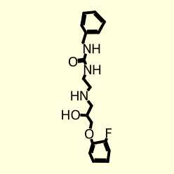 O=C(NCCNCC(O)COc1ccccc1F)NCc1ccccc1